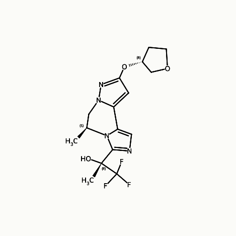 C[C@H]1Cn2nc(O[C@@H]3CCOC3)cc2-c2cnc([C@@](C)(O)C(F)(F)F)n21